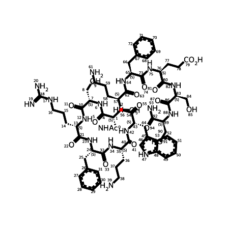 CC(=O)N[C@@H](CO)C(=O)N[C@@H](CO)C(=O)N[C@@H](CCCNC(=N)N)C(=O)N[C@@H](Cc1ccccc1)C(=O)N[C@@H](CCCN)C(=O)N[C@@H](Cc1c[nH]c2ccccc12)C(=O)N[C@@H](CCCN)C(=O)N[C@@H](Cc1ccccc1)C(=O)N[C@@H](CCC(=O)O)C(=O)N[C@@H](CO)C(=O)N[C@@H](CO)C(N)=O